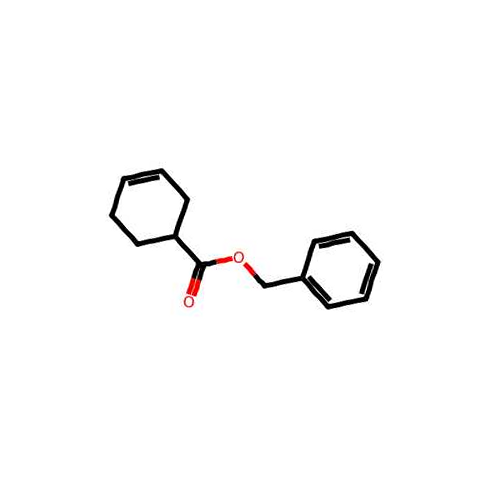 O=C(OCc1ccccc1)C1CC=CCC1